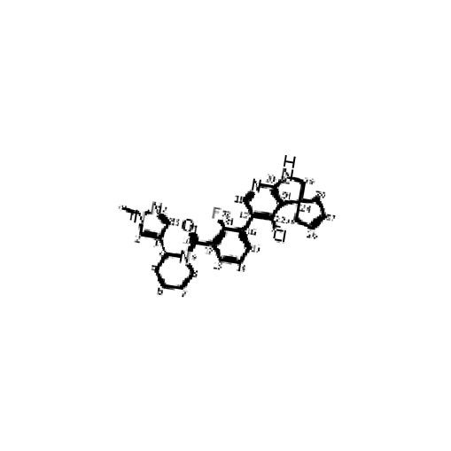 Cn1cc([C@@H]2CCCCN2C(=O)c2cccc(-c3cnc4c(c3Cl)C3(CC=CC3)CN4)c2F)cn1